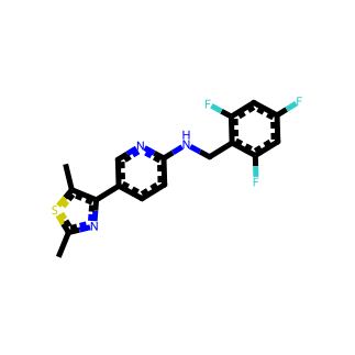 Cc1nc(-c2ccc(NCc3c(F)cc(F)cc3F)nc2)c(C)s1